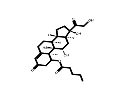 CCCCC(=O)OC1CC(=O)C=C2CC[C@H]3[C@@H]4CC[C@](O)(C(=O)CO)[C@@]4(C)C[C@H](O)[C@]3(S)[C@]21C